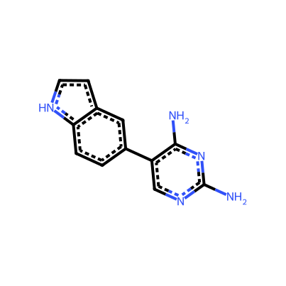 Nc1ncc(-c2ccc3[nH]ccc3c2)c(N)n1